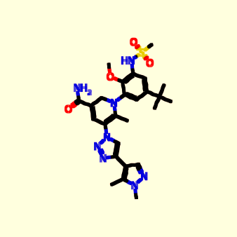 COc1c(NS(C)(=O)=O)cc(C(C)(C)C)cc1N1CC(C(N)=O)=CC(n2cc(-c3cnn(C)c3C)nn2)=C1C